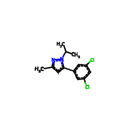 Cc1[c]c(-c2cc(Cl)cc(Cl)c2)n(C(C)C)n1